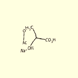 CC(=O)[O-].CC(O)C(=O)O.[Na+]